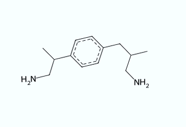 CC(CN)Cc1ccc(C(C)CN)cc1